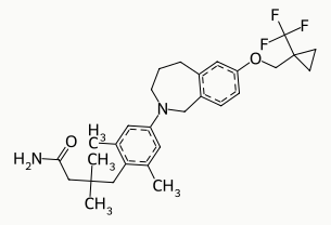 Cc1cc(N2CCCc3cc(OCC4(C(F)(F)F)CC4)ccc3C2)cc(C)c1CC(C)(C)CC(N)=O